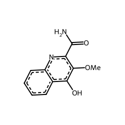 COc1c(C(N)=O)nc2ccccc2c1O